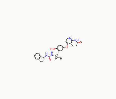 O=C1CCc2c(Oc3ccc(O)c([C@@H]4[C@@H]5C[C@@]45NC(=O)N[C@H]4CCc5ccccc54)c3)ccnc2N1